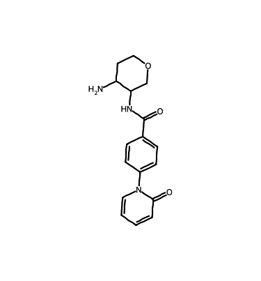 NC1CCOCC1NC(=O)c1ccc(-n2ccccc2=O)cc1